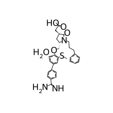 CSc1cc(-c2ccc(C(=N)N)cc2)ccc1OC[C@@H]1C[C@@H](CC(=O)O)C(=O)N1CCCc1ccccc1.O